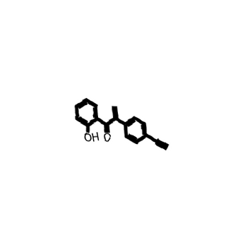 C#Cc1ccc(C(=C)C(=O)c2ccccc2O)cc1